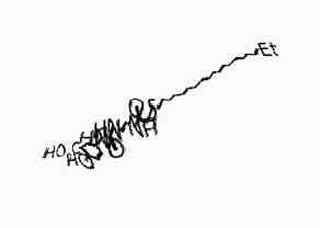 CCC=CCC=CCC=CCC=CCC=CCCCCSCC(=O)NCCNC(=O)Nc1ccc(O)c(C(=O)O)c1